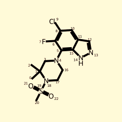 CC1(C)CN(c2c(F)c(Cl)cc3cn[nH]c23)CCN1S(C)(=O)=O